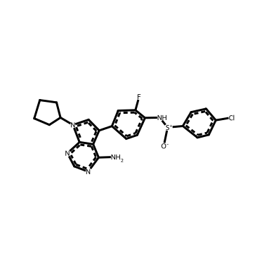 Nc1ncnc2c1c(-c1ccc(N[S+]([O-])c3ccc(Cl)cc3)c(F)c1)cn2C1CCCC1